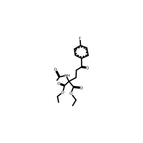 CCOC(=O)C(CCC(=O)c1ccc(F)cc1)(NC(C)=O)C(=O)OCC